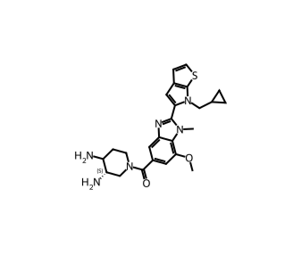 COc1cc(C(=O)N2CCC(N)[C@@H](N)C2)cc2nc(-c3cc4ccsc4n3CC3CC3)n(C)c12